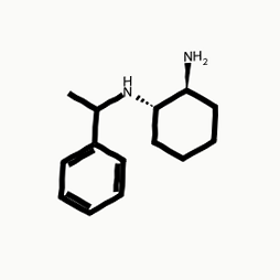 CC(N[C@H]1CCCC[C@@H]1N)c1ccccc1